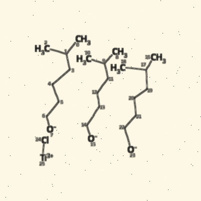 CC(C)CCCC[O-].CC(C)CCCC[O-].CC(C)CCCC[O-].[Cl][Ti+3]